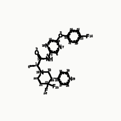 C[C@@H](C(=O)Nc1cnc(Oc2ccc(F)cc2)cn1)N1CCC(F)(F)[C@@H](c2ccncc2)C1